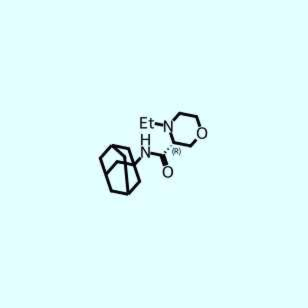 CCN1CCOC[C@@H]1C(=O)NC12CC3CC(CC(C3)C1)C2